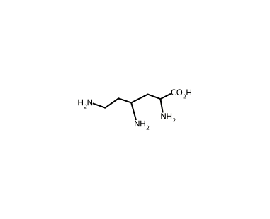 NCCC(N)CC(N)C(=O)O